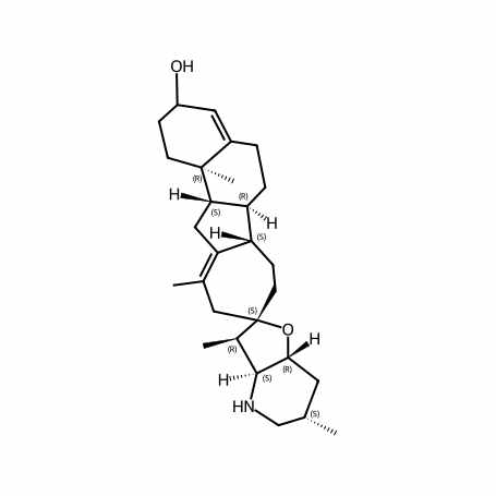 CC1=C2C[C@H]3[C@@H](CCC4=CC(O)CC[C@@]43C)[C@@H]2CC[C@@]2(C1)O[C@@H]1C[C@H](C)CN[C@H]1[C@H]2C